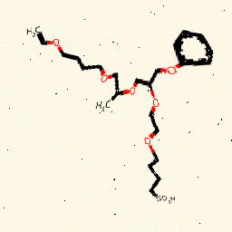 C=COCCCCOCC(C)OCC(COc1ccccc1)OCCOCCCCS(=O)(=O)O